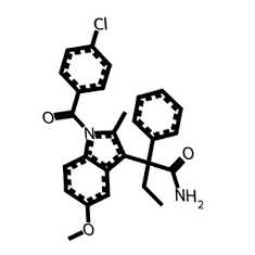 CCC(C(N)=O)(c1ccccc1)c1c(C)n(C(=O)c2ccc(Cl)cc2)c2ccc(OC)cc12